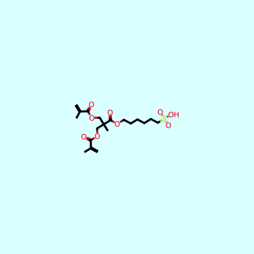 C=C(C)C(=O)OCC(C)(COC(=O)C(=C)C)C(=O)OCCCCCCS(=O)(=O)O